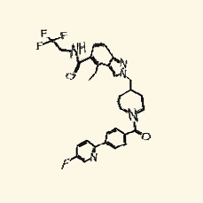 Cc1c(C(=O)NCC(F)(F)F)ccc2nn(CC3CCN(C(=O)c4ccc(-c5ccc(F)cn5)cc4)CC3)cc12